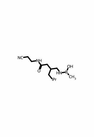 CB(O)NCC(CC(=O)NCCC#N)CC(C)C